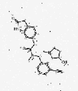 C#Cc1cccc([C@@H](CN2CCC(O)C2)N(C)C(=O)Cc2ccc3c(c2)NC(=O)C3)c1